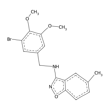 COc1cc(CNc2noc3ccc(C)cc23)cc(Br)c1OC